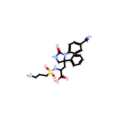 CCCCS(=O)(=O)NC(CC1(c2ccccc2)CNC(=O)N1c1ccc(C#N)cc1)C(=O)O